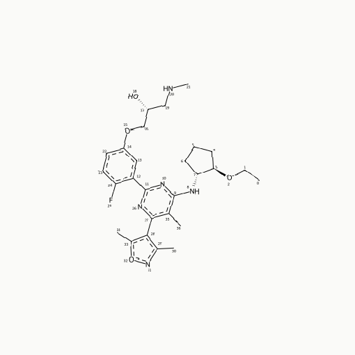 CCO[C@@H]1CCC[C@H]1Nc1nc(-c2cc(OC[C@H](O)CNC)ccc2F)nc(-c2c(C)noc2C)c1C